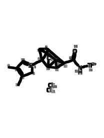 CC1=C(C)C[Si](C23C4C5CC26C2C5(C(=O)[NH][Ti+2])C26C43)=C1.[Cl-].[Cl-]